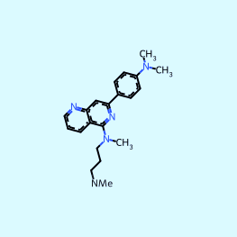 CNCCCN(C)c1nc(-c2ccc(N(C)C)cc2)cc2ncccc12